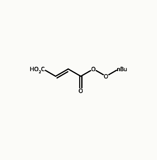 CCCCOOC(=O)C=CC(=O)O